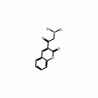 CCN(CC)CC(=O)c1cc2ccccc2oc1=O